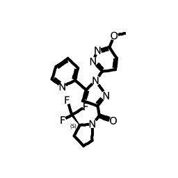 COc1ccc(-n2nc(C(=O)N3CCC[C@H]3C(F)(F)F)cc2-c2ccccn2)nn1